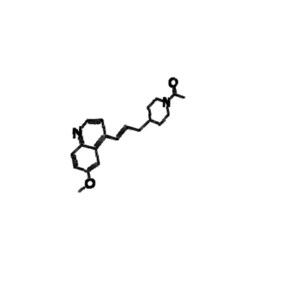 COc1ccc2nccc(/C=C/CC3CCN(C(C)=O)CC3)c2c1